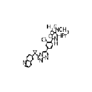 CC(C)C(NC(=O)c1ccc(-c2cnc3ncc(C4(c5ccc6ncccc6c5)CC4)n3c2)cc1Cl)C(=O)N(C)C